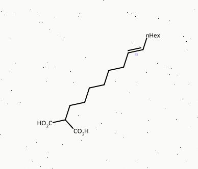 CCCCCC/C=C/CCCCCCC(C(=O)O)C(=O)O